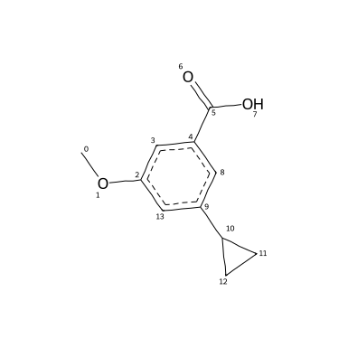 COc1cc(C(=O)O)cc(C2CC2)c1